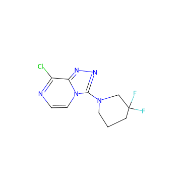 FC1(F)CCCN(c2nnc3c(Cl)nccn23)C1